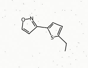 CCc1ccc(-c2ccon2)s1